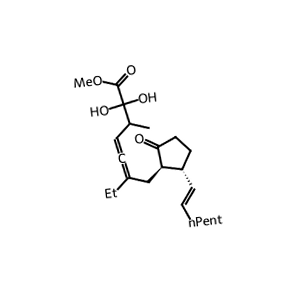 CCCCCC=C[C@H]1CCC(=O)[C@@H]1CC(=C=CC(C)C(O)(O)C(=O)OC)CC